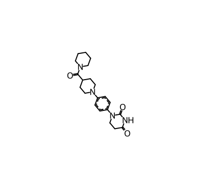 O=C1CCN(c2ccc(N3CCC(C(=O)N4CCCCC4)CC3)cc2)C(=O)N1